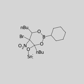 CCCCC1OB(C2CCCCC2)OC(CCCC)([O][Sn])C1(Br)[N+](=O)[O-]